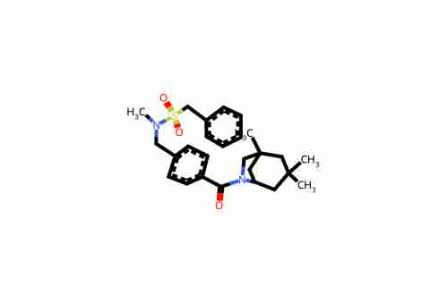 CN(Cc1ccc(C(=O)N2CC3(C)CC2CC(C)(C)C3)cc1)S(=O)(=O)Cc1ccccc1